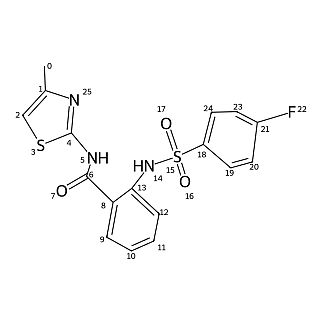 Cc1csc(NC(=O)c2ccccc2NS(=O)(=O)c2ccc(F)cc2)n1